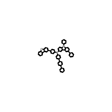 c1ccc(-c2ccc(-c3ccc(N(c4ccc(-c5ccc6oc7ccccc7c6c5)cc4)c4ccc5c(c4)c4cc(-c6ccccc6)ccc4n5-c4ccccc4)cc3)cc2)cc1